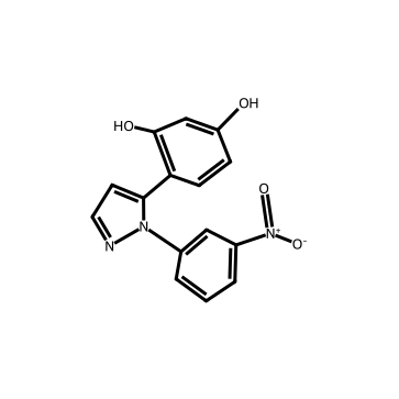 O=[N+]([O-])c1cccc(-n2nccc2-c2ccc(O)cc2O)c1